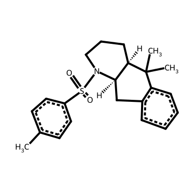 Cc1ccc(S(=O)(=O)N2CCC[C@@H]3[C@H]2Cc2ccccc2C3(C)C)cc1